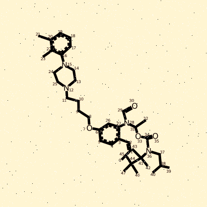 C/C=C\c1ccc(OCCCCN2CCN(c3cccc(C)c3C)CC2)cc1N(C=O)C(C)OC(=O)N(CC(C)C)C(C)(C)C(C)(C)C